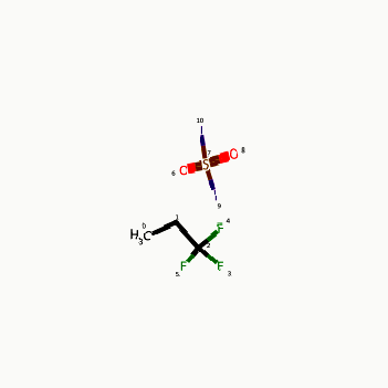 CCC(F)(F)F.O=S(=O)(I)I